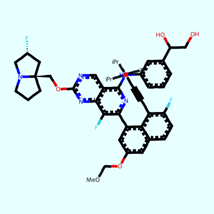 COCOc1cc(-c2nc(Nc3cccc(C(O)CO)c3)c3cnc(OC[C@@]45CCCN4C[C@H](F)C5)nc3c2F)c2c(C#C[Si](C(C)C)(C(C)C)C(C)C)c(F)ccc2c1